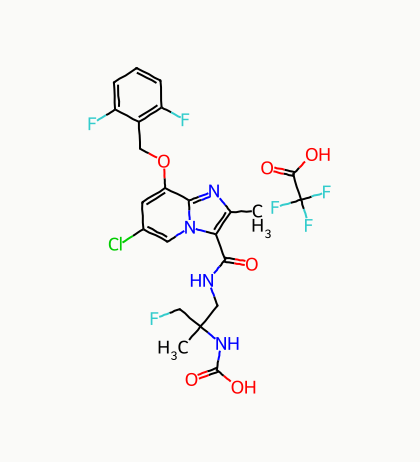 Cc1nc2c(OCc3c(F)cccc3F)cc(Cl)cn2c1C(=O)NCC(C)(CF)NC(=O)O.O=C(O)C(F)(F)F